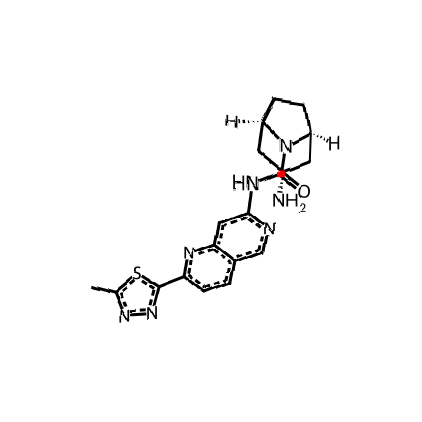 Cc1nnc(-c2ccc3cnc(NC(=O)N4[C@@H]5CC[C@H]4C[C@H](N)C5)cc3n2)s1